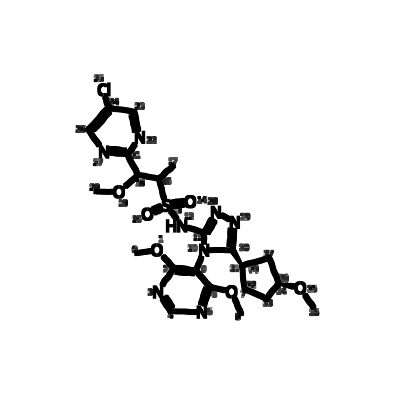 COc1ncnc(OC)c1-n1c(NS(=O)(=O)C(C)C(OC)c2ncc(Cl)cn2)nnc1[C@@H]1CC[C@H](OC)C1